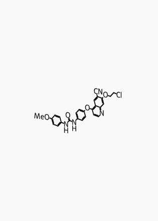 COc1ccc(NC(=O)Nc2ccc(Oc3ccnc4cc(OCCCl)c(C#N)cc34)cc2)cc1